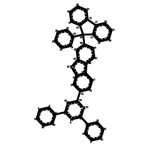 c1ccc(-c2nc(-c3ccccc3)nc(-c3ccc4c(c3)sc3cc(C5(c6ccccc6)c6ccccc6-c6ccccc65)ccc34)n2)cc1